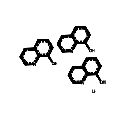 Oc1cccc2cccnc12.Oc1cccc2cccnc12.Oc1cccc2cccnc12.[Li]